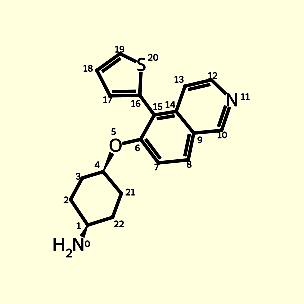 N[C@H]1CC[C@@H](Oc2ccc3cnccc3c2-c2cccs2)CC1